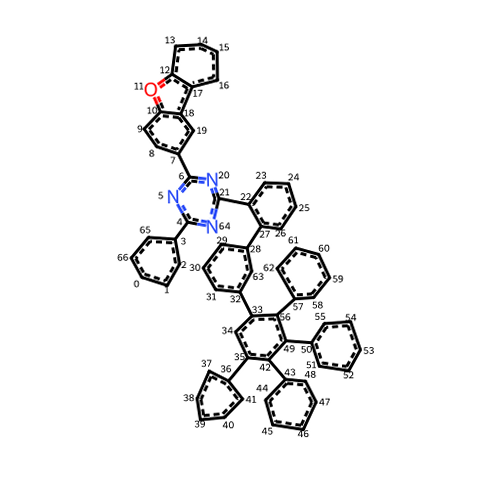 c1ccc(-c2nc(-c3ccc4oc5ccccc5c4c3)nc(-c3ccccc3-c3cccc(-c4cc(-c5ccccc5)c(-c5ccccc5)c(-c5ccccc5)c4-c4ccccc4)c3)n2)cc1